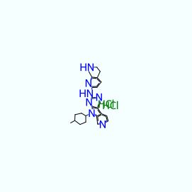 CC1CCC(n2c3cnccc3c3cnc(Nc4ccc5c(n4)CNCC5)nc32)CC1.Cl.Cl